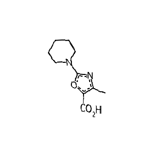 Cc1nc(N2CCCCC2)oc1C(=O)O